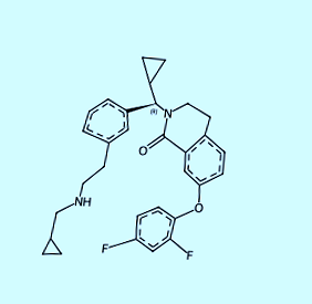 O=C1c2cc(Oc3ccc(F)cc3F)ccc2CCN1[C@@H](c1cccc(CCNCC2CC2)c1)C1CC1